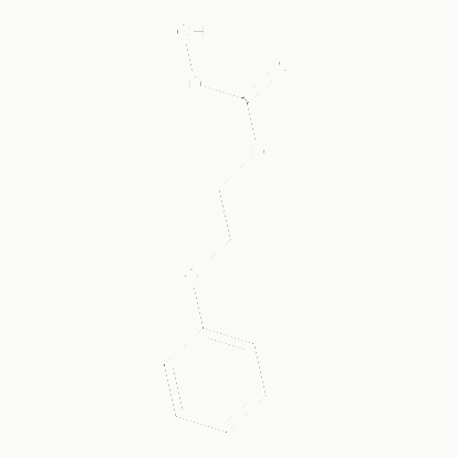 O=C(OO)OCCOc1ccccc1